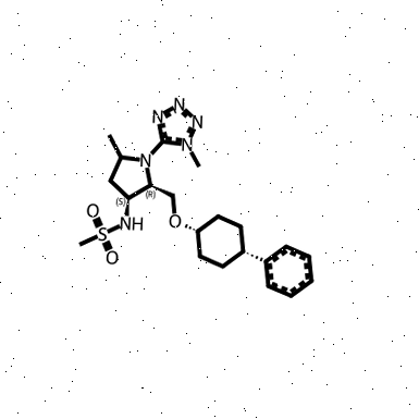 CC1C[C@H](NS(C)(=O)=O)[C@H](CO[C@H]2CC[C@@H](c3ccccc3)CC2)N1c1nnnn1C